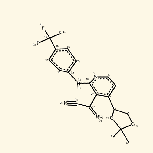 CC1(C)OCC(c2ccnc(Nc3ccc(C(F)(F)F)cc3)c2C(=N)C#N)O1